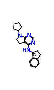 c1ccc2c(c1)CC[C@@H]2Nc1ncnc2c1CCN2C1CCCC1